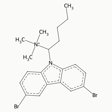 CCCCC(n1c2ccc(Br)cc2c2cc(Br)ccc21)[N+](C)(C)C